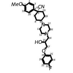 COc1ccc([C@]2(C#N)CC[C@@H](N3CCN(CC(O)COc4ccc(F)cc4)CC3)CC2)cc1